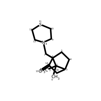 CC1(C)C2CCC1(CN1CCSCC1)C(=O)C2